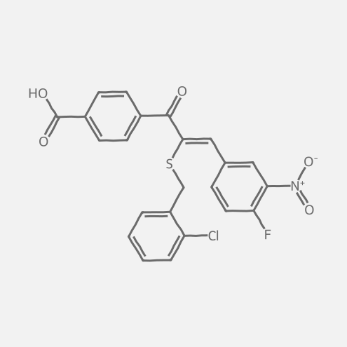 O=C(O)c1ccc(C(=O)C(=Cc2ccc(F)c([N+](=O)[O-])c2)SCc2ccccc2Cl)cc1